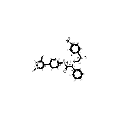 Cc1nn(C)cc1-c1ccc(NC(=O)[C@@H](NC[C@@H](C)c2ccc(C#N)cc2)c2ccccc2)nc1